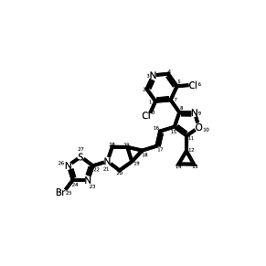 Clc1cncc(Cl)c1-c1noc(C2CC2)c1C=CC1C2CN(c3nc(Br)ns3)CC12